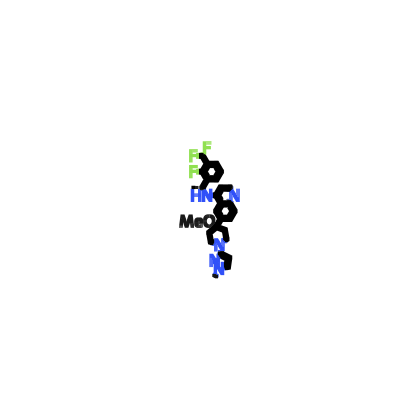 COC1(c2ccc3nccc(N[C@H](C)c4cccc(C(F)F)c4F)c3c2)CCN(c2ccn(C)n2)CC1